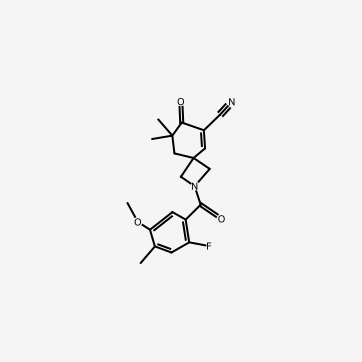 COc1cc(C(=O)N2CC3(C=C(C#N)C(=O)C(C)(C)C3)C2)c(F)cc1C